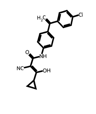 C=C(c1ccc(Cl)cc1)c1ccc(NC(=O)C(C#N)=C(O)C2CC2)cc1